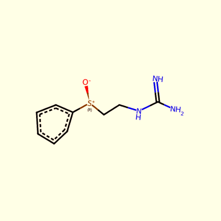 N=C(N)NCC[S@+]([O-])c1ccccc1